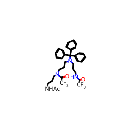 CC(=O)NCCCN(CCCN(CCCNC(=O)C(F)(F)F)C(c1ccccc1)(c1ccccc1)c1ccccc1)C(=O)C(F)(F)F